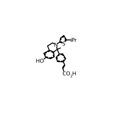 CC(C)c1ccc(N2CCc3cc(O)ccc3C2(C)c2ccc(C=CC(=O)O)cc2)s1